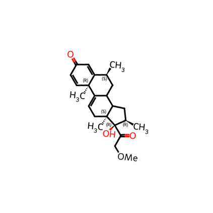 COCC(=O)[C@@]1(O)[C@H](C)CC2C3C[C@H](C)C4=CC(=O)C=C[C@]4(C)C3=CC[C@@]21C